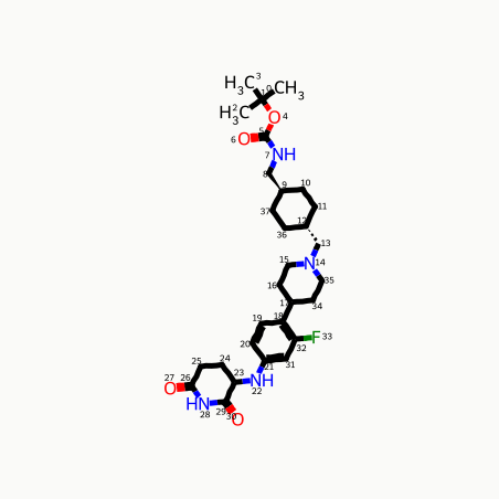 CC(C)(C)OC(=O)NC[C@H]1CC[C@H](CN2CCC(c3ccc(NC4CCC(=O)NC4=O)cc3F)CC2)CC1